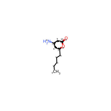 CCCCCc1cc(N)cc(=O)o1